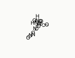 COc1ccc2c(c1)C(=O)N([C@@]1(c3cc4nc(-c5ccc(N6CCOCC6)nc5)ccc4o3)NC(=O)NC1=O)C2